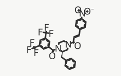 O=C(C=Cc1ccc([N+](=O)[O-])cc1)N1CCN(C(=O)c2cc(C(F)(F)F)cc(C(F)(F)F)c2)[C@H](Cc2ccccc2)C1